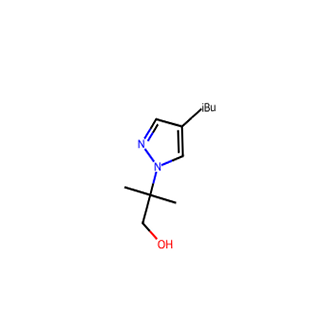 CCC(C)c1cnn(C(C)(C)CO)c1